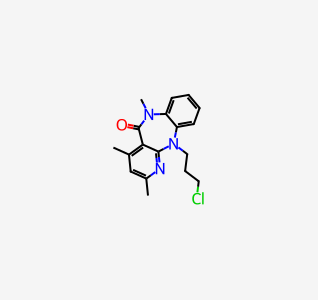 Cc1cc(C)c2c(n1)N(CCCCl)c1ccccc1N(C)C2=O